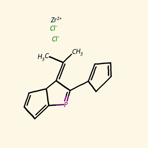 CC(C)=C1C(C2=CC=CC2)=PC2=CC=CC21.[Cl-].[Cl-].[Zr+2]